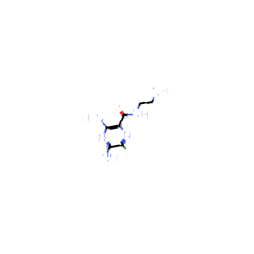 NCCNC(=O)c1nc(Cl)c(N)nc1N